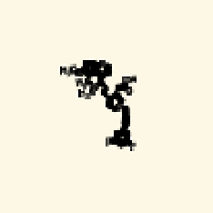 COc1ccc2nccc([C@@H](CC[C@@H]3CCN(CC#Cc4cc(F)cc(F)c4)C[C@@H]3CC(=O)O)N(C)C)c2c1